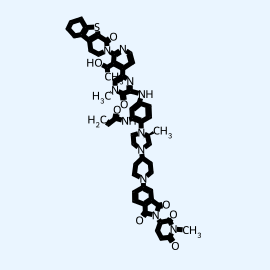 C=CC(=O)Nc1cc(Nc2nc(-c3ccnc(N4CCc5c(sc6c5CCCC6)C4=O)c3C(C)O)cn(C)c2=O)ccc1N1CCN(C2CCN(c3ccc4c(c3)C(=O)N(C3CCC(=O)N(C)C3=O)C4=O)CC2)C[C@@H]1C